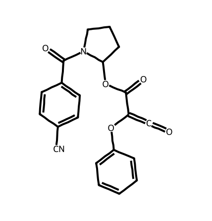 N#Cc1ccc(C(=O)N2CCCC2OC(=O)C(=C=O)Oc2ccccc2)cc1